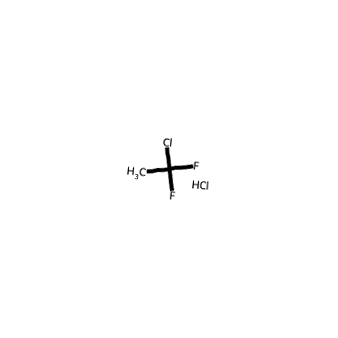 CC(F)(F)Cl.Cl